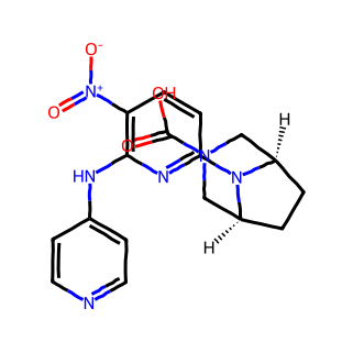 O=C(O)N1C[C@H]2CC[C@@H](C1)N2c1ccc([N+](=O)[O-])c(Nc2ccncc2)n1